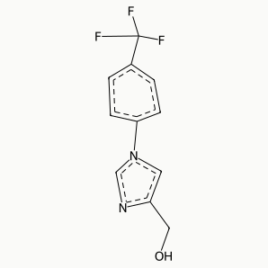 OCc1cn(-c2ccc(C(F)(F)F)cc2)cn1